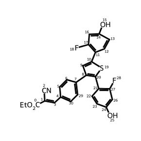 CCOC(=O)C(C#N)=Cc1ccc(-c2cc(-c3ccc(O)cc3F)sc2-c2ccc(O)cc2F)cc1